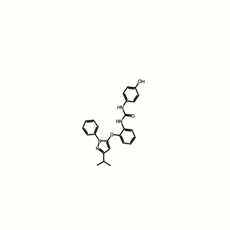 CC(C)c1cc(Oc2ccccc2NC(=O)Nc2ccc(O)cc2)n(-c2ccccc2)n1